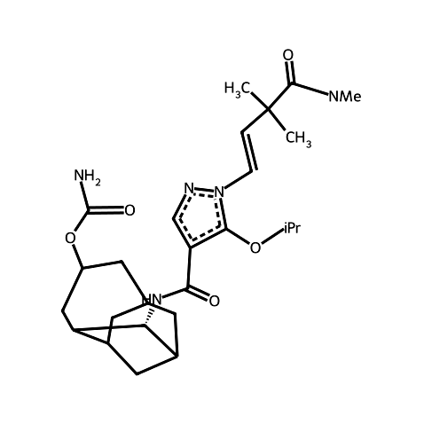 CNC(=O)C(C)(C)/C=C/n1ncc(C(=O)N[C@@H]2C3CC4CC(OC(N)=O)CC2C(C4)C3)c1OC(C)C